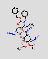 CC[C@@H]([C@@H]1CC[C@@H](N=[N+]=[N-])[C@@H](O[C@H]2[C@H](OC(C)=O)[C@@H](OC(C)=O)[C@H](N=[N+]=[N-])C[C@@H]2N=[N+]=[N-])O1)N(Cc1ccccc1)C(=O)OCc1ccccc1